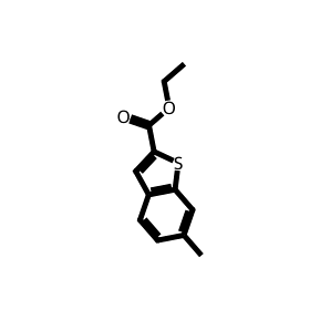 CCOC(=O)c1cc2ccc(C)cc2s1